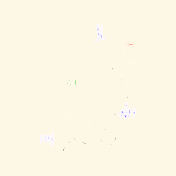 Cl.Cl.Cl.O=C(O)[C@@H](Cc1cccc(CNc2cccc(C[C@H](C(=O)O)[C@H]3CCNC3)c2)c1)[C@H]1CCNC1